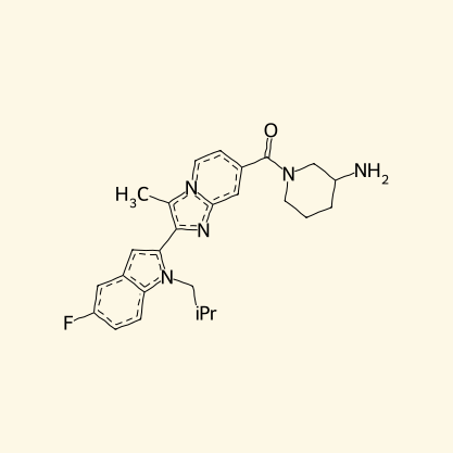 Cc1c(-c2cc3cc(F)ccc3n2CC(C)C)nc2cc(C(=O)N3CCCC(N)C3)ccn12